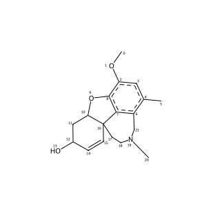 COc1cc(C)c2c3c1OC1CC(O)C=CC31CCN(C)C2